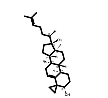 CC(C)=CCC[C@@H](C)[C@@]1(O)CC[C@H]2[C@@H]3CC=C4C5(CC5)[C@@H](O)CC[C@]4(C)[C@H]3CC[C@@]21C